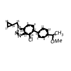 COC(C)c1ccc(-c2ccc3c(nnn3CC3CC3)c2Cl)cc1